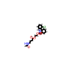 CC(=O)NCCCC(=O)OCCOC(=O)N(C)[C@]1(c2ccccc2Cl)CCCCC1=O